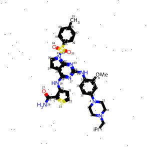 COc1cc(N2CCN(CC(C)C)CC2)ccc1Nc1nc(Nc2ccsc2C(N)=O)c2ccn(S(=O)(=O)c3ccc(C)cc3)c2n1